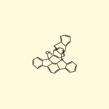 CC1(c2ccccc2)c2ccccc2-c2ccc3c4ccccc4n(-c4ccc5ccccc5c4)c3c21